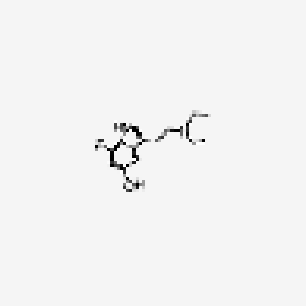 CCN(CC)CCc1c[nH]c2c(F)cc(O)cc12